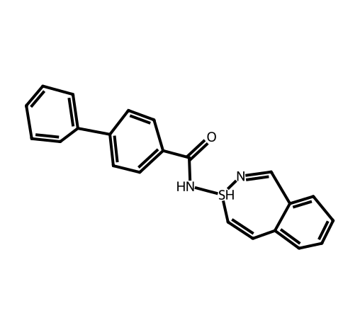 O=C(N[SH]1C=Cc2ccccc2C=N1)c1ccc(-c2ccccc2)cc1